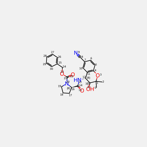 CC1(C)Oc2ccc(C#N)cc2[C@@H](NC(=O)[C@H]2CCCN2C(=O)OCc2ccccc2)[C@@H]1O